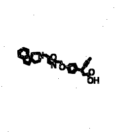 CC#CC(CC(=O)O)c1ccc(OCc2ncc(CN3CCC4(C=Cc5ccccc54)CC3)o2)cc1